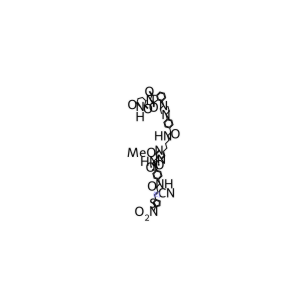 COc1nc(CCCNC(=O)c2ccc(N3CCN(c4cccc5c4C(=O)N(C4CCC(=O)NC4=O)C5=O)CC3)cc2)cnc1NS(=O)(=O)c1ccc(NC(=O)/C(C#N)=C/c2ccc([N+](=O)[O-])s2)cc1